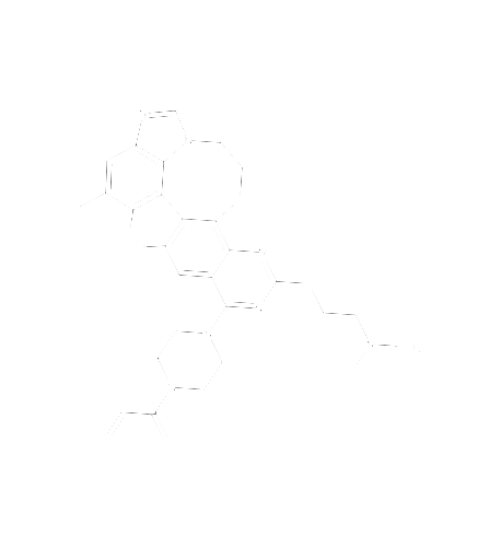 C=CC(=O)N1CCN(c2nc(OCCN(C)C)nc3c4c(c(Cl)cc23)-c2c(F)c(Cl)cc3ncn(c23)CCO4)CC1